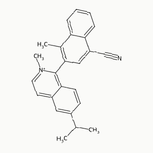 Cc1c(-c2c3ccc(C(C)C)cc3cc[n+]2C)cc(C#N)c2ccccc12